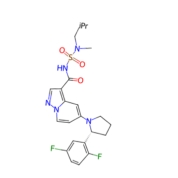 CC(C)CN(C)S(=O)(=O)NC(=O)c1cnn2ccc(N3CCC[C@@H]3c3cc(F)ccc3F)cc12